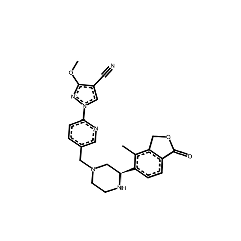 COc1nn(-c2ccc(CN3CCN[C@H](c4ccc5c(c4C)COC5=O)C3)cn2)cc1C#N